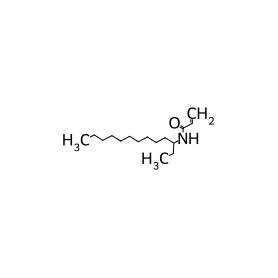 C=CC(=O)NC(CC)CCCCCCCCCC